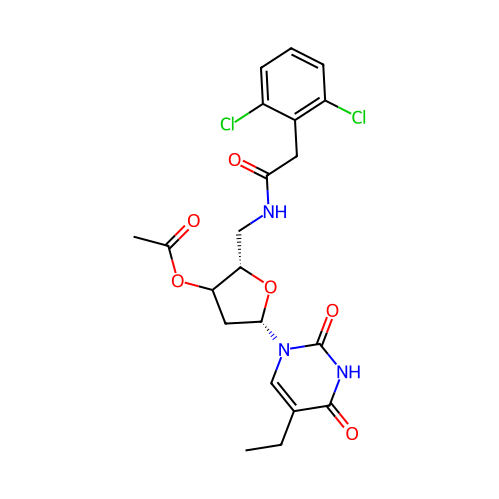 CCc1cn([C@@H]2CC(OC(C)=O)[C@H](CNC(=O)Cc3c(Cl)cccc3Cl)O2)c(=O)[nH]c1=O